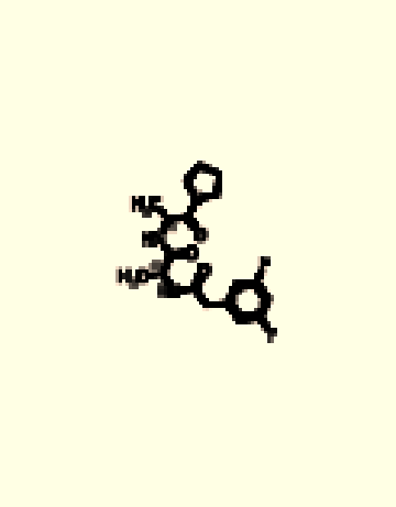 C[C@H](NC(=O)Cc1cc(F)cc(F)c1)C(=O)N[C@@H](C)C(=O)N1CCCC1